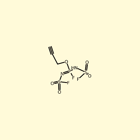 C#CCOP(F)(=NS(=O)(=O)F)NS(=O)(=O)F